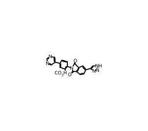 O=C(O)c1cc(-c2cncnc2)ccc1N1C(=O)c2ccc(-c3c[nH]nn3)cc2C1=O